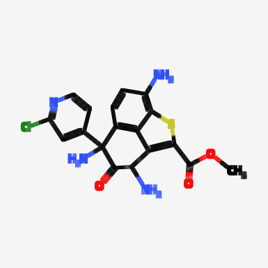 COC(=O)c1sc2c(N)ccc3c2c1C(N)C(=O)C3(N)c1ccnc(Cl)c1